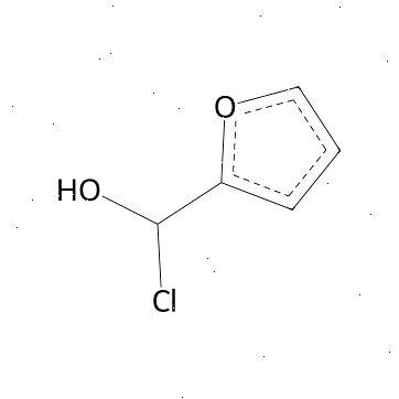 OC(Cl)c1ccco1